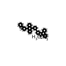 CC1(C)c2ccc(-c3cccc(-c4c5ccccc5c(-c5ccc6sc7ccccc7c6c5)c5ccccc45)c3)cc2-c2c1c1ccccc1c1ccccc21